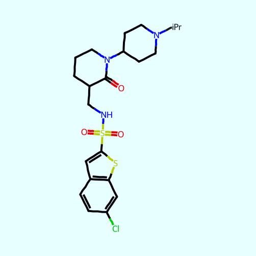 CC(C)N1CCC(N2CCCC(CNS(=O)(=O)c3cc4ccc(Cl)cc4s3)C2=O)CC1